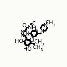 CCNC(=O)c1nnc(-c2cc(C(C)C)c(O)cc2O)n1-c1ccc(CN2CCN(C)CC2)cc1Cl